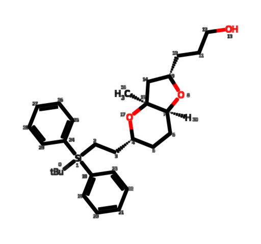 CC(C)(C)[Si](CC[C@H]1CC[C@@H]2O[C@@H](CCCO)C[C@]2(C)O1)(c1ccccc1)c1ccccc1